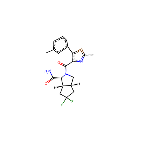 Cc1cccc(-c2sc(C)nc2C(=O)N2C[C@@H]3CC(F)(F)C[C@@H]3[C@H]2C(N)=O)c1